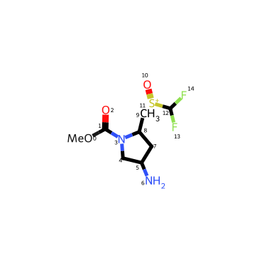 COC(=O)N1CC(N)CC1C.O=[S+]C(F)F